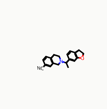 CC(c1ccc2c(c1)OCC2)N1CCc2ccc(C#N)cc2C1